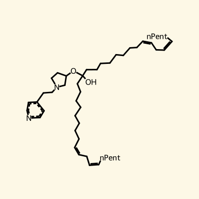 CCCCC/C=C\C/C=C\CCCCCCCCC(O)(CCCCCCCC/C=C\C/C=C\CCCCC)OC1CCN(CCc2ccncc2)C1